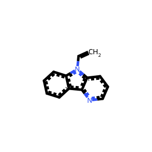 C=Cn1c2ccccc2c2ncccc21